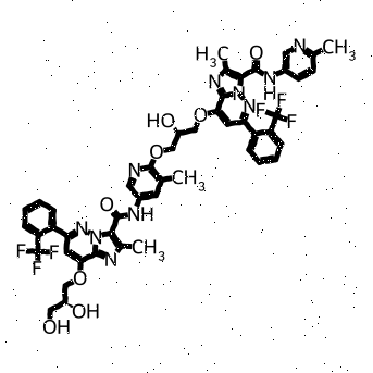 Cc1ccc(NC(=O)c2c(C)nc3c(OC[C@H](O)COc4ncc(NC(=O)c5c(C)nc6c(OC[C@H](O)CO)cc(-c7ccccc7C(F)(F)F)nn56)cc4C)cc(-c4ccccc4C(F)(F)F)nn23)cn1